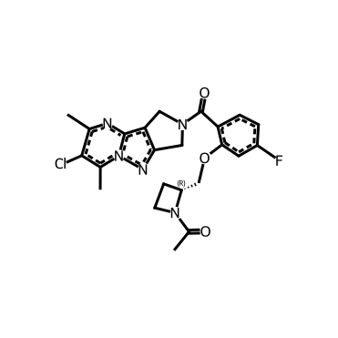 CC(=O)N1CC[C@@H]1COc1cc(F)ccc1C(=O)N1Cc2nn3c(C)c(Cl)c(C)nc3c2C1